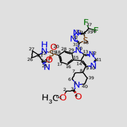 COCC(=O)N1CCC(c2ncnc3c2c2ccc(S(=O)(=O)NC4(C#N)CC4)cc2n3-c2nnc(C(F)F)s2)CC1